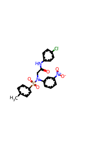 Cc1ccc(S(=O)(=O)N(CC(=O)Nc2ccc(Cl)cc2)c2cccc([N+](=O)[O-])c2)cc1